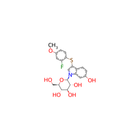 COc1ccc(Sc2cn([C@@H]3O[C@H](CO)[C@@H](O)[C@H](O)[C@H]3O)c3cc(O)ccc23)c(F)c1